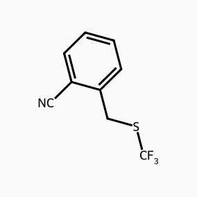 N#Cc1ccccc1CSC(F)(F)F